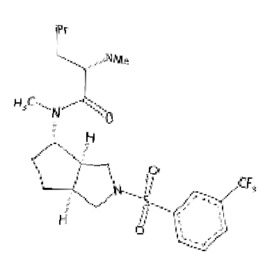 CN[C@@H](CC(C)C)C(=O)N(C)[C@H]1CC[C@@H]2CN(S(=O)(=O)c3cccc(C(F)(F)F)c3)C[C@@H]21